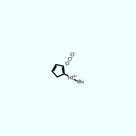 C[C](C)(C)[Hf+3][C]1=CC=CC1.[Cl-].[Cl-].[Cl-]